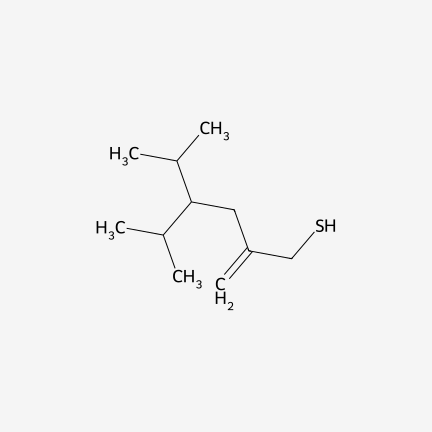 C=C(CS)CC(C(C)C)C(C)C